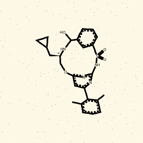 Cc1cccc(C)c1-c1cc2nc(n1)NS(=O)(=O)c1cccc(c1)C(O)N[C@H](CC1CC1)CO2